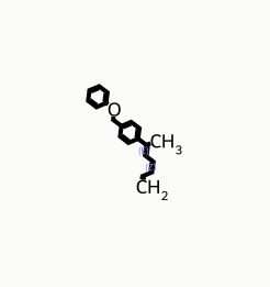 C=C/C=C\C=C(/C)c1ccc(COc2ccccc2)cc1